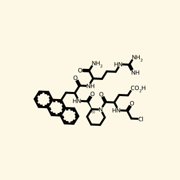 N=C(N)NCCCC(NC(=O)C(Cc1c2ccccc2cc2ccccc12)NC(=O)[C@@H]1CCCCN1C(=O)C(CCC(=O)O)NC(=O)CCl)C(N)=O